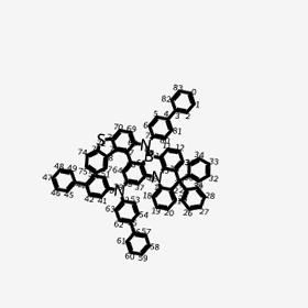 c1ccc(-c2ccc(N3B4c5cccc6c5N(c5ccccc5C6(c5ccccc5)c5ccccc5)c5cc(N(c6ccc(-c7ccccc7)cc6)c6ccc(-c7ccccc7)cc6)cc(c54)-c4c3ccc3sc5ccccc5c43)cc2)cc1